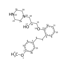 COc1ccc(CCc2ccccc2OCC(O)CN2CCNCC2)cc1